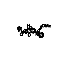 COCCCn1c(C2CCCN(C(=O)[C@@H]3CN(C(=O)N4CCCC4)C[C@H]3N)C2)nc2ccccc21